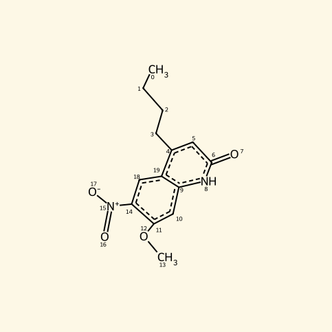 CCCCc1cc(=O)[nH]c2cc(OC)c([N+](=O)[O-])cc12